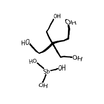 OCC(CO)(CO)CO.[OH][Sb]([OH])[OH]